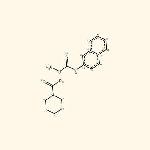 CN(OC(=O)C1CCCCC1)C(=S)Sc1ccc2ccccc2c1